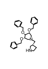 c1ccc(COC2[C@@H](OCc3ccccc3)CN(C[C@H]3CCNC3)C[C@H]2OCc2ccccc2)cc1